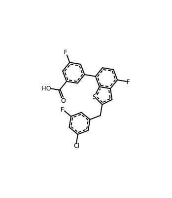 O=C(O)c1cc(F)cc(-c2ccc(F)c3cc(Cc4cc(F)cc(Cl)c4)sc23)c1